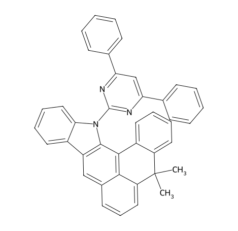 CC1(C)c2ccccc2-c2c3c1cccc3cc1c3ccccc3n(-c3nc(-c4ccccc4)cc(-c4ccccc4)n3)c21